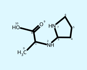 CC(NC1CCCN1)C(=O)O